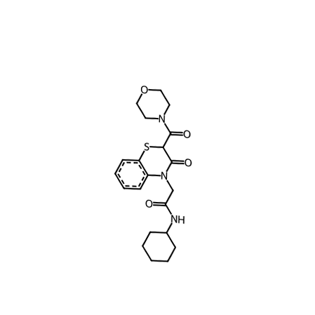 O=C(CN1C(=O)C(C(=O)N2CCOCC2)Sc2ccccc21)NC1CCCCC1